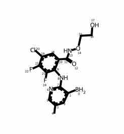 Bc1cc(C)cnc1Nc1c(C(=O)NOCCO)cc(Cl)c(F)c1F